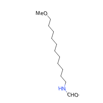 [CH2]OCCCCCCCCCCCN[C]=O